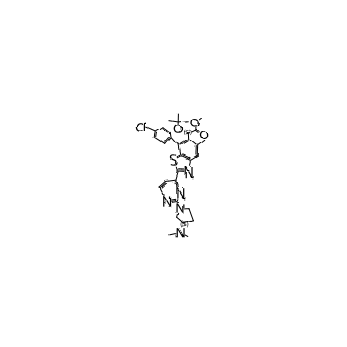 COC(=O)[C@@H](OC(C)(C)C)c1c(C)cc2nc(-c3ccnc(N4CC[C@H](N(C)C)C4)n3)sc2c1-c1ccc(Cl)cc1